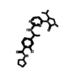 CC(Nc1nccc(N2C(=O)N(C)CC2C(C)C)n1)c1ccc(C(=O)NC2CCCC2)c(Cl)c1